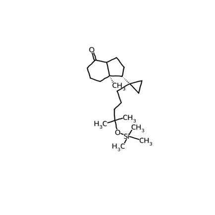 CC(C)(CCCC1([C@H]2CCC3C(=O)CCC[C@@]32C)CC1)O[Si](C)(C)C